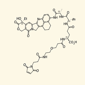 CC[C@@]1(O)C(=O)OCc2c1cc1n(c2=O)Cc2c-1nc1ccc(NC(=O)[C@H](C)NC(=O)[C@@H](NC(=O)CC[C@H](NC(=O)CCOCCNC(=O)CCN3C(=O)C=CC3=O)C(=O)O)C(C)C)c3c1c2CCC3